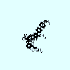 C=CC(=O)Nc1cccc(Oc2nc(Nc3cc(C)c(C4CCC(N5CCN(C)CC5)CC4)cc3OC)ncc2Cl)c1